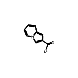 [O]C(=O)c1cc2ccccn2c1